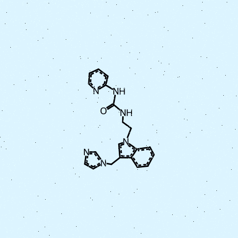 O=C(NCCn1cc(Cn2ccnc2)c2ccccc21)Nc1ccccn1